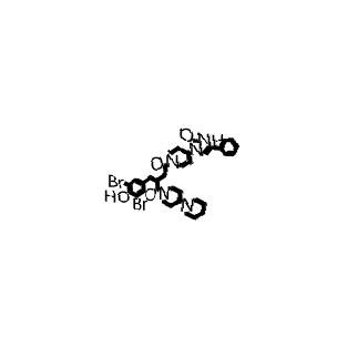 O=C(CC(Cc1cc(Br)c(O)c(Br)c1)C(=O)N1CCC(N2CCCCC2)CC1)N1CCC(n2cc(-c3ccccc3)[nH]c2=O)CC1